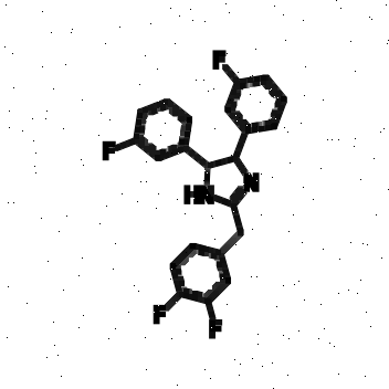 Fc1cccc(C2N=C(Cc3ccc(F)c(F)c3)NC2c2cccc(F)c2)c1